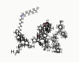 C#C[C@]1(OC(=O)CCCCCCC/C=C\CCCCCCCC)CC[C@H]2[C@@H]3CCc4cc(O)ccc4[C@H]3CC[C@@]21C.CC[C@]12C=CCN3CC[C@@]4(c5cc([C@@]6(C(=O)OC)C[C@H]7C[C@@H](C(C)(F)F)C[N@](Cc8c6[nH]c6ccccc86)C7)c(OC)cc5N(C)[C@H]4[C@@](O)(C(=O)OC)[C@@H]1OC(C)=O)[C@@H]32.Cc1cccc(C)c1NC(=O)CN1CCN(CCCC(c2ccc(F)cc2)c2ccc(F)cc2)CC1.NCCO